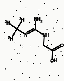 [2H]C([2H])([2H])N=C(N)NCC(=O)O